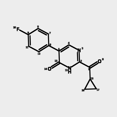 O=C(c1ncc(-c2ccc(F)cc2)c(=O)[nH]1)C1CC1